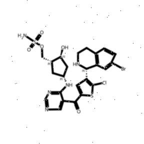 NS(=O)(=O)OC[C@H]1C[C@@H](Nc2ncncc2C(=O)c2cc([C@@H]3NCCc4ccc(Br)cc43)c(Cl)s2)C[C@@H]1O